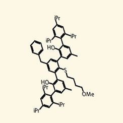 COCCCCSc1c(-c2cc(C)cc(-c3c(C(C)C)cc(C(C)C)cc3C(C)C)c2O)cc(Cc2ccccc2)cc1-c1cc(C)cc(-c2c(C(C)C)cc(C(C)C)cc2C(C)C)c1O